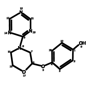 Oc1ccc(OC2CN(c3ncncn3)CCO2)cc1